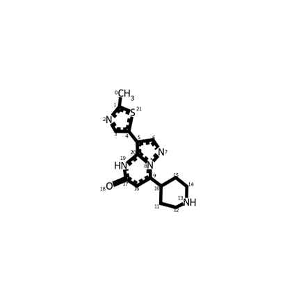 Cc1ncc(-c2cnn3c(C4CCNCC4)cc(=O)[nH]c23)s1